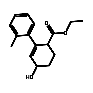 CCOC(=O)C1CCC(O)C=C1c1ccccc1C